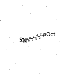 CCCCCCCCCCCCCCCCCCN=C=S